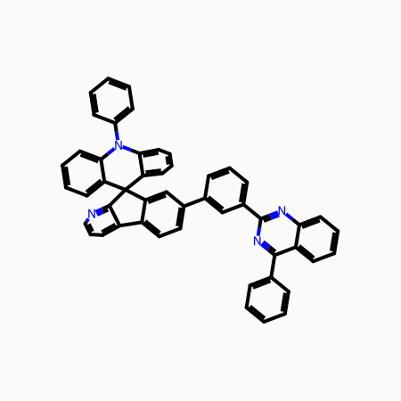 c1ccc(-c2nc(-c3cccc(-c4ccc5c(c4)C4(c6ccccc6N(c6ccccc6)c6ccccc64)c4ncccc4-5)c3)nc3ccccc23)cc1